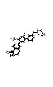 Nc1nc(F)c(-c2cccc(CN3CCNCC3)c2)cc1-c1ccc2c(c1)CCNC2=O